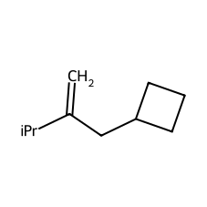 C=C(CC1CCC1)C(C)C